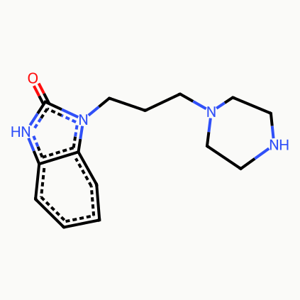 O=c1[nH]c2ccccc2n1CCCN1CCNCC1